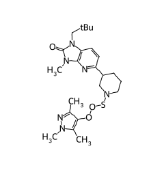 Cc1nn(C)c(C)c1OOSN1CCCC(c2ccc3c(n2)n(C)c(=O)n3CC(C)(C)C)C1